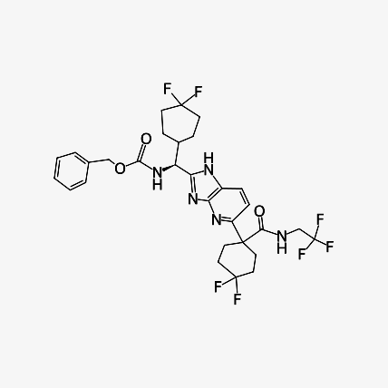 O=C(N[C@H](c1nc2nc(C3(C(=O)NCC(F)(F)F)CCC(F)(F)CC3)ccc2[nH]1)C1CCC(F)(F)CC1)OCc1ccccc1